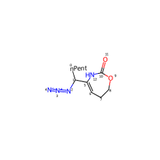 CCCCCC(N=[N+]=[N-])C1=CCCOC(=O)N1